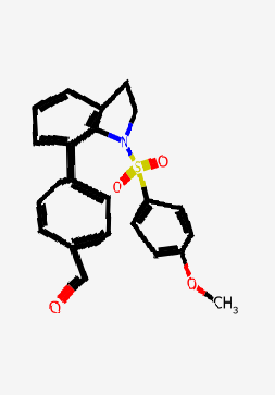 COc1ccc(S(=O)(=O)N2CCc3cccc(-c4ccc(C=O)cc4)c32)cc1